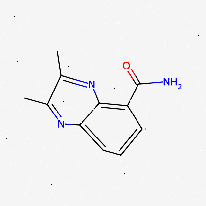 Cc1nc2cc[c]c(C(N)=O)c2nc1C